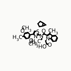 C1CC2CC2C1.CCN(C(=O)c1c(C)c2ccccc2n1CC(=O)O)c1nc(-c2cc(OC)c(C)cc2OC)cs1